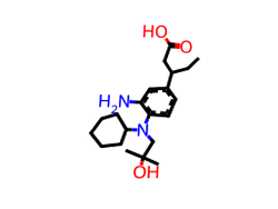 CCC(CC(=O)O)c1ccc(N(CC(C)(C)O)C2CCCCC2)c(N)c1